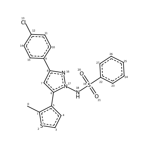 Cc1sccc1-c1cc(-c2ccc(Cl)cc2)nn1NS(=O)(=O)c1ccccc1